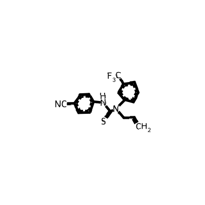 C=CCN(C(=S)Nc1ccc(C#N)cc1)c1cccc(C(F)(F)F)c1